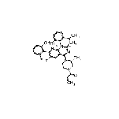 C=CC(=O)N1CCN(c2nc(=O)n(-c3c(C)ccnc3C(C)C)c3nc(-c4c(O)cccc4F)c(F)cc23)[C@H](C)C1